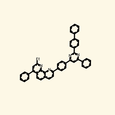 CCc1cc(-c2ccccc2)c2ccc3ccc(-c4ccc(-c5cc(-c6ccccc6)nc(-c6ccc(-c7ccccc7)cc6)n5)cc4)nc3c2n1